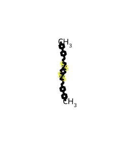 Cc1ccc(-c2ccc(/C=C/c3cc4sc5cc6c(cc5c4s3)sc3cc(/C=C/c4ccc(-c5ccc(C)cc5)cc4)sc36)cc2)cc1